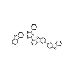 c1ccc(-c2nc(-c3ccc4sc5ccccc5c4c3)nc(-c3cccc4c3oc3ccc(-c5ccc6oc7ccccc7c6c5)cc34)n2)cc1